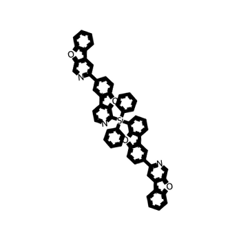 c1ccc([Si](c2ccccc2)(c2cccc3c2oc2ccc(-c4cc5c(cn4)oc4ccccc45)cc23)c2nccc3c2oc2ccc(-c4cc5c(cn4)oc4ccccc45)cc23)cc1